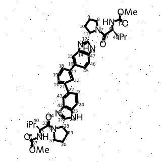 COC(=O)N[C@H](C(=O)N1CCC[C@H]1c1nc2cc(-c3cccc(-c4ccc5[nH]c([C@@H]6CCCN6C(=O)[C@@H](NC(=O)OC)C(C)C)nc5c4)c3)ccc2[nH]1)C(C)C